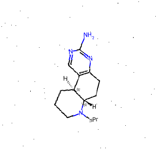 CCCN1CCC[C@H]2c3cnc(N)nc3CC[C@@H]21